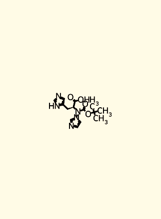 CC(C)(C)OC(=O)N([C@@H](Cc1cnc[nH]1)C(=O)O)n1ccnc1